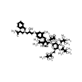 Cc1cc(OC[C@@H](O)CN(CCC(N)=O)Cc2ccccc2)ccc1Cc1c(O[C@@H]2O[C@H](COC(=O)C(C)(C)C)[C@@H](OC(=O)C(C)(C)C)[C@H](OC(=O)C(C)(C)C)[C@H]2OC(=O)C(C)(C)C)n[nH]c1C(C)C